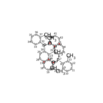 COc1cccc(P(c2ccccc2C)c2ccccc2C)c1-c1c(OC)cccc1P(c1ccccc1C)c1ccccc1C